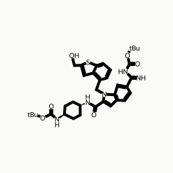 CC(C)(C)OC(=O)NC(=N)c1ccc2cc(C(=O)N[C@H]3CC[C@H](NC(=O)OC(C)(C)C)CC3)n(Cc3cccc4sc(CO)cc34)c2c1